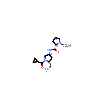 NC[C@H]1C[C@@H](NC(=O)[C@@H]2C[C@H](F)CN2C(=O)O)CN1C(=O)C1CC1